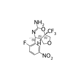 C[C@]1(c2cc([N+](=O)[O-])ccc2F)N=C(N)O[C@]2(C(F)(F)F)COC[C@H]12